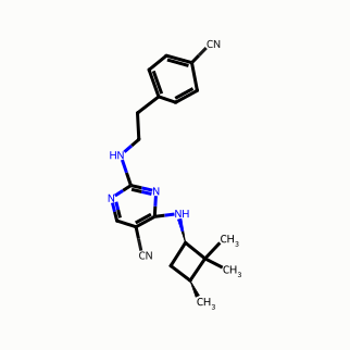 C[C@H]1C[C@@H](Nc2nc(NCCc3ccc(C#N)cc3)ncc2C#N)C1(C)C